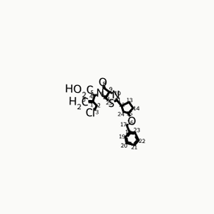 C=C(CCl)C(C(=O)O)N1C(=O)C2N=C(C3CCC(OCc4ccccc4)C3)SC21